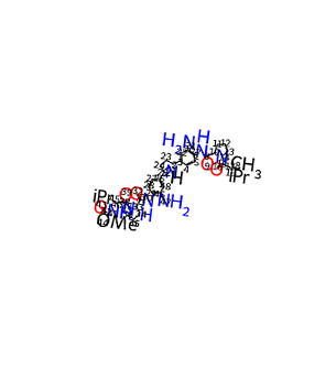 [2H]N1C(c2ccc(NC(=O)C3CCCN3C(=O)C(C)C(C)C)c(N)c2)CCC1c1ccc(NC(=O)C2CCCN2C(=O)C(NC(=O)OC)C(C)C)c(N)c1